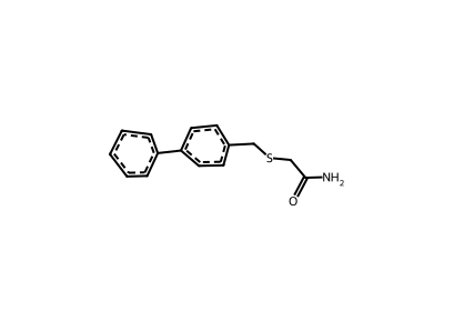 NC(=O)CSCc1ccc(-c2ccccc2)cc1